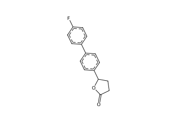 O=C1CCC(c2ccc(-c3ccc(F)cc3)cc2)O1